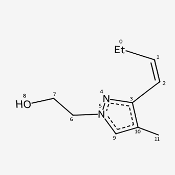 CC/C=C\c1nn(CCO)cc1C